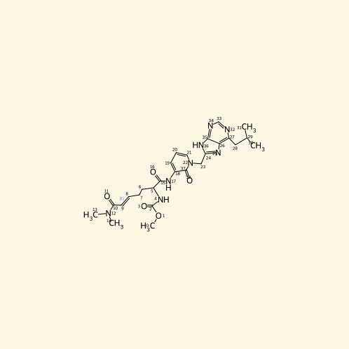 COC(=O)NC(CC/C=C/C(=O)N(C)C)C(=O)Nc1cccn(Cc2nc3c(CC(C)C)ncnc3[nH]2)c1=O